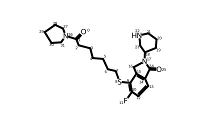 O=C(CCCCCCSc1c(F)ccc2c1CN(C1CCCNC1)C2=O)N1CCCCC1